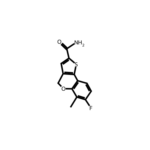 Cc1c(F)ccc2c1OCc1cc(C(N)=O)sc1-2